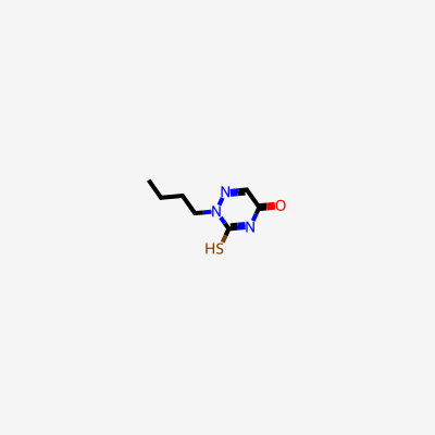 CCCCn1ncc(=O)nc1S